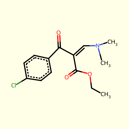 CCOC(=O)C(=CN(C)C)C(=O)c1ccc(Cl)cc1